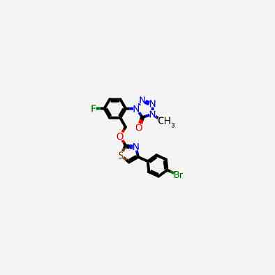 Cn1nnn(-c2ccc(F)cc2COc2nc(-c3ccc(Br)cc3)cs2)c1=O